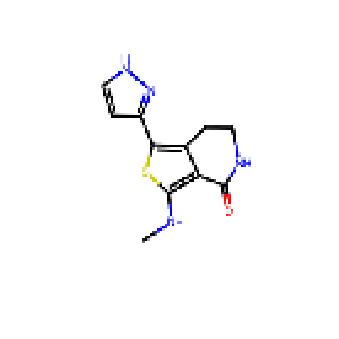 CNc1sc(-c2cc[nH]n2)c2c1C(=O)NCC2